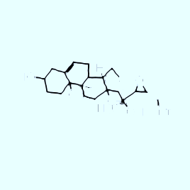 CC(C)C[C@H]1OC1[C@](C)(O)[C@H]1CC[C@H]2C3CC=C4CC(O)CCC4(C)[C@H]3CCC21C